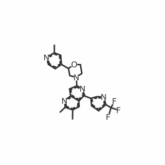 Cc1cc(C2CN(c3cc4nc(C)c(C)cc4c(-c4ccc(C(F)(F)F)nc4)n3)CCO2)ccn1